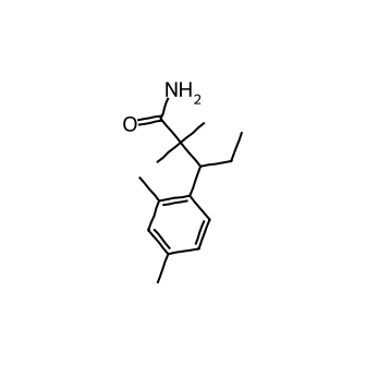 CCC(c1ccc(C)cc1C)C(C)(C)C(N)=O